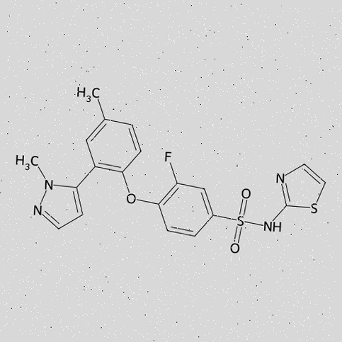 Cc1ccc(Oc2ccc(S(=O)(=O)Nc3nccs3)cc2F)c(-c2ccnn2C)c1